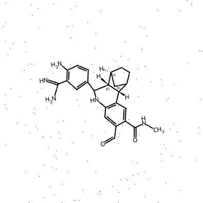 CNC(=O)c1cc2c(cc1C=O)NC(c1ccc(N)c(C(=N)N)c1)[C@@H]1[C@H]3CCC(C3)[C@H]21